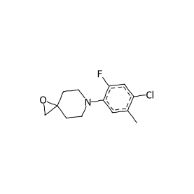 Cc1cc(N2CCC3(CC2)CO3)c(F)cc1Cl